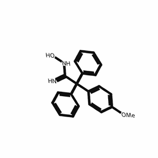 COc1ccc(C(C(=N)NO)(c2ccccc2)c2ccccc2)cc1